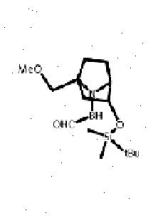 COCC12CCC(C(O[Si](C)(C)C(C)(C)C)C1)N2BC=O